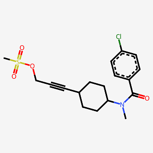 CN(C(=O)c1ccc(Cl)cc1)C1CCC(C#CCOS(C)(=O)=O)CC1